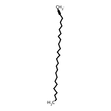 [CH2]C#CCCCCCCCCCCCCCCCCCCCCCCC[CH2]